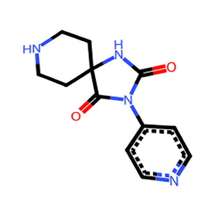 O=C1NC2(CCNCC2)C(=O)N1c1ccncc1